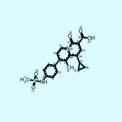 Cc1c(-c2ccc(NS(C)(=O)=O)cc2)ccn2c(=O)c(C(=O)O)cc(C3CC3)c12